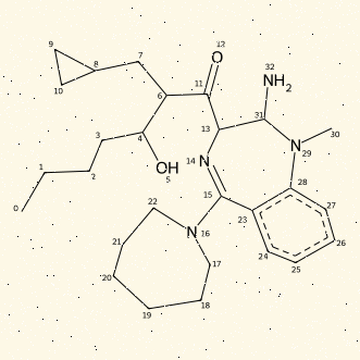 CCCCC(O)C(CC1CC1)C(=O)C1N=C(N2CCCCCC2)c2ccccc2N(C)C1N